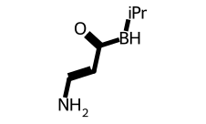 CC(C)BC(=O)/C=C/N